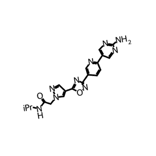 CC(C)NC(=O)Cn1cc(-c2nc(-c3ccc(-c4cnc(N)nc4)nc3)no2)cn1